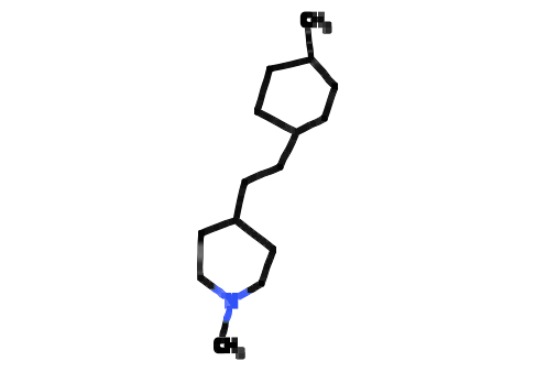 CC1CCC(CCC2CCN(C)CC2)CC1